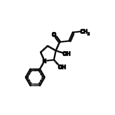 C/C=C/C(=O)C1(O)CCN(c2ccccc2)C1O